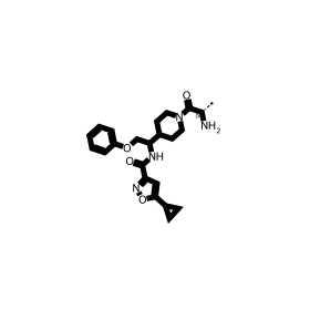 C[C@H](N)C(=O)N1CCC(C(COc2ccccc2)NC(=O)c2cc(C3CC3)on2)CC1